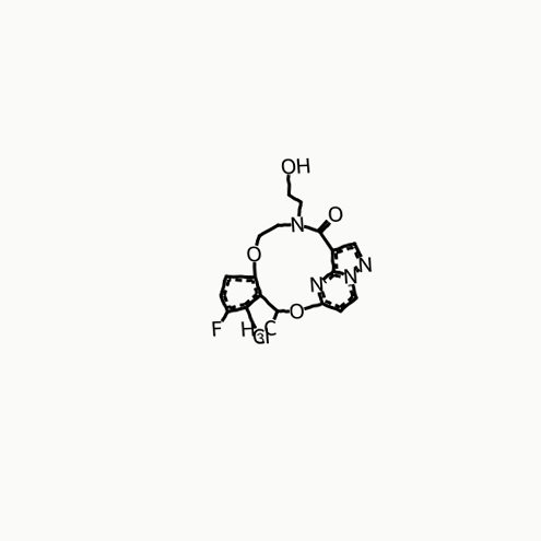 CC1Oc2ccn3ncc(c3n2)C(=O)N(CCO)CCOc2ccc(F)c(Cl)c21